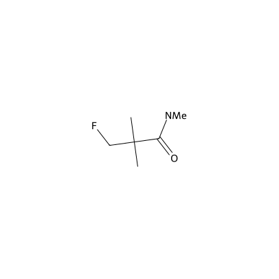 CNC(=O)C(C)(C)CF